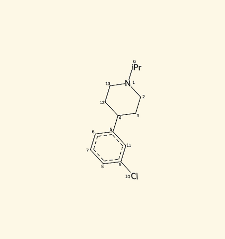 CC(C)N1CCC(c2cccc(Cl)c2)CC1